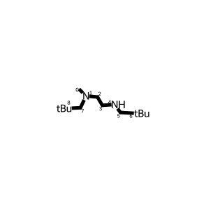 CN(CCNCC(C)(C)C)CC(C)(C)C